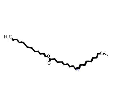 CCCCCCCC/C=C\CCCCCCCC(=O)OC=CCCCCCCCCCC